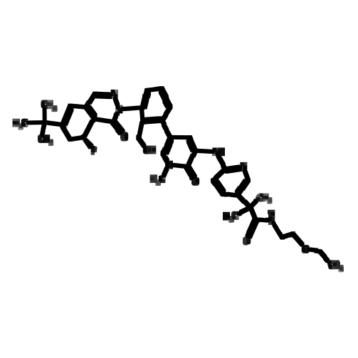 CCOCCNC(=O)C(C)(C)c1ccc(Nc2cc(-c3cccc(-n4ncc5c(c4=O)[C@@H](F)CC(C(C)(C)C)=C5)c3CO)cn(C)c2=O)nc1